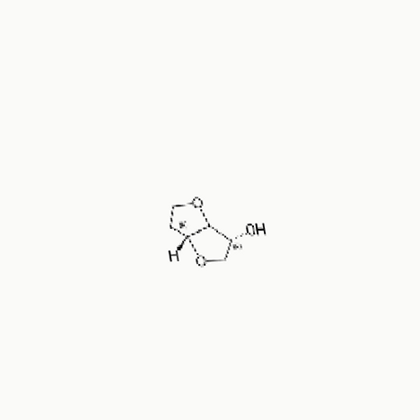 O[C@@H]1CO[C@@H]2CCOC12